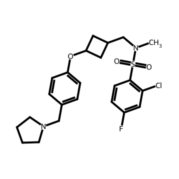 CN(CC1CC(Oc2ccc(CN3CCCC3)cc2)C1)S(=O)(=O)c1ccc(F)cc1Cl